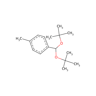 Cc1ccc(C(OC(C)(C)C)OC(C)(C)C)cc1